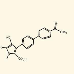 CCOC(=O)c1c(-c2ccc(-c3ccc(C(=O)OC)cc3)cc2)c(C#N)c(CC)n1C